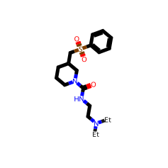 CCN(CC)CCNC(=O)N1CCCC(CS(=O)(=O)c2ccccc2)C1